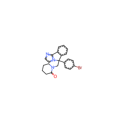 O=C1CCCCN1CC1(c2ccc(Br)cc2)c2ccccc2-c2nccn21